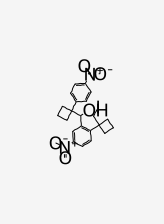 O=[N+]([O-])c1ccc(C2(C(O)c3cc([N+](=O)[O-])ccc3C3(CI)CCC3)CCC2)cc1